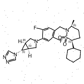 C[C@H]1CC[C@@H](C2CCCCC2)S(=O)(=O)N1Cc1cc(F)c(N2C[C@@H]3[C@H](C2)[C@H]3n2cnnc2)cc1F